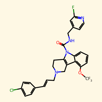 O=C(NCc1ccnc(F)c1)n1c2c(c3c(OC(F)(F)F)cccc31)CN(CC=Cc1ccc(Cl)cc1)CC2